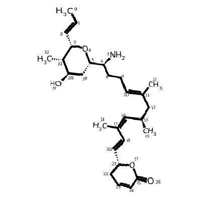 C/C=C/[C@@H]1O[C@H]([C@@H](N)CC/C=C(\C)C[C@@H](C)/C=C(C)\C=C\[C@H]2CC=CC(=O)O2)C[C@@H](O)[C@@H]1C